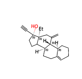 C#C[C@]1(O)CCC2[C@@H]3CCC4=CCCC[C@@H]4[C@H]3C(=C)C[C@@]21CC